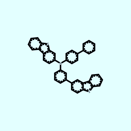 c1ccc(-c2ccc(N(c3cccc(-c4ccc5sc6ccccc6c5c4)c3)c3ccc4c(c3)sc3ccccc34)cc2)cc1